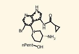 CCCCCO.N[C@@H]1CCCN(c2c(Br)cnc3[nH]cc(NC(=O)C4CC4)c23)C1